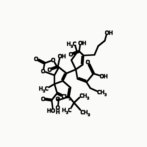 C=C(C(=O)O)C(C)(C(C=C(C(=O)O)C(C)(C)C)=C(C(=O)O)C(C=C(CC)C(=O)O)(C=C(CCCO)C(=O)O)CCC)C1COC(=O)O1